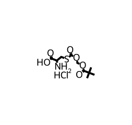 CC(C)(C)C(=O)OCOC(=O)SCC(N)C(=O)O.Cl